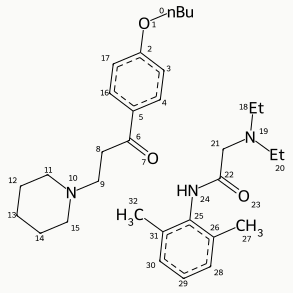 CCCCOc1ccc(C(=O)CCN2CCCCC2)cc1.CCN(CC)CC(=O)Nc1c(C)cccc1C